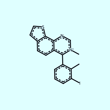 Cc1c(I)cccc1-c1c2ccc3ccsc3c2nc[n+]1C